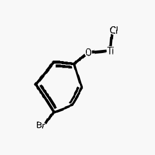 [Cl][Ti][O]c1ccc(Br)cc1